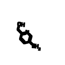 Bc1ccc(CO)nc1